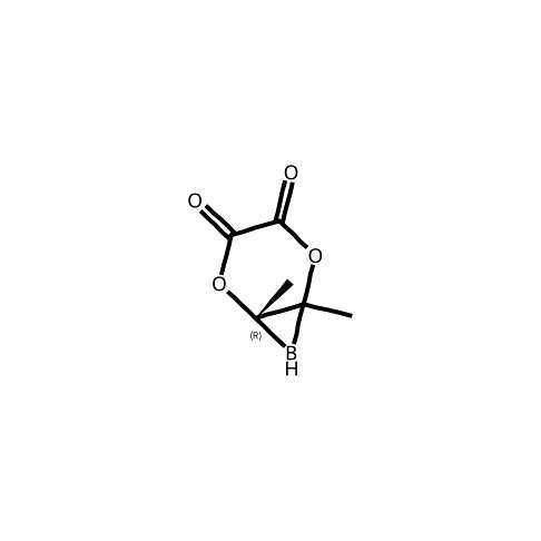 CC12B[C@]1(C)OC(=O)C(=O)O2